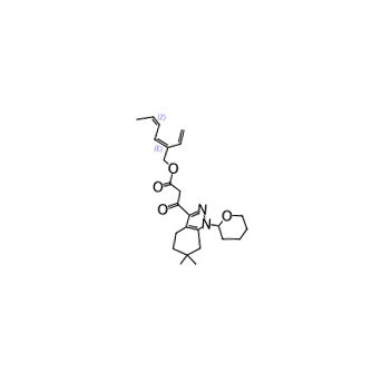 C=C/C(=C\C=C/C)COC(=O)CC(=O)c1nn(C2CCCCO2)c2c1CCC(C)(C)C2